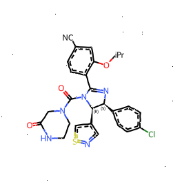 CC(C)Oc1cc(C#N)ccc1C1=N[C@@H](c2ccc(Cl)cc2)[C@@H](c2cnsc2)N1C(=O)N1CCNC(=O)C1